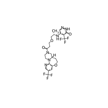 C[C@@H](COCCC(=O)N1CCN2c3ncc(C(F)(F)F)cc3OCC[C@H]2C1)Nc1cn[nH]c(=O)c1C(F)(F)F